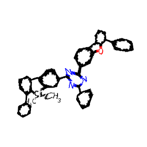 C[Si]1(C)c2cc(-c3nc(-c4ccccc4)nc(-c4ccc5c(c4)oc4c(-c6ccccc6)cccc45)n3)ccc2-c2cccc(-c3ccccc3)c21